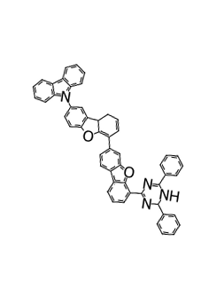 C1=CC(c2ccc3c(c2)oc2c(C4=NC(c5ccccc5)NC(c5ccccc5)=N4)cccc23)=C2Oc3ccc(-n4c5ccccc5c5ccccc54)cc3C2C1